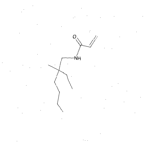 C=CC(=O)NCC(C)(CC)CCCC